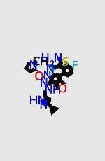 CN1CCC[C@H]1COc1nc(NCc2cc(C3CC3)n[nH]2)c2c3c(c(-c4ccc(F)c5sc(N)c(C#N)c45)c(F)c2n1)COC3